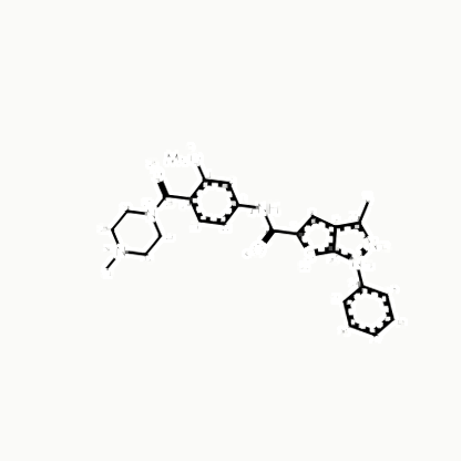 COc1cc(NC(=O)c2cc3c(C)nn(-c4ccccc4)c3s2)ccc1C(=O)N1CCN(C)CC1